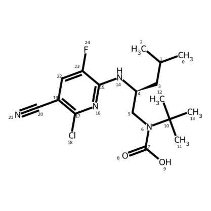 CC(C)C[C@@H](CN(C(=O)O)C(C)(C)C)Nc1nc(Cl)c(C#N)cc1F